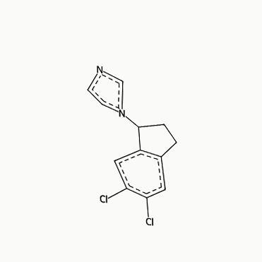 Clc1cc2c(cc1Cl)C(n1ccnc1)CC2